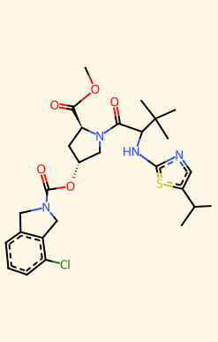 COC(=O)[C@@H]1C[C@@H](OC(=O)N2Cc3cccc(Cl)c3C2)CN1C(=O)C(Nc1ncc(C(C)C)s1)C(C)(C)C